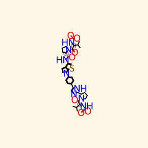 COC(=O)N[C@H](C(=O)N1CCCC1c1ncc(-c2ccc(-n3ccc4c(NC(=O)[C@@H]5CCCN5C(=O)[C@@H](NC(=O)OC)C(C)C)csc43)cc2)[nH]1)C(C)C